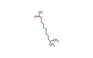 CC(C)CCCCCCCOC(=O)O